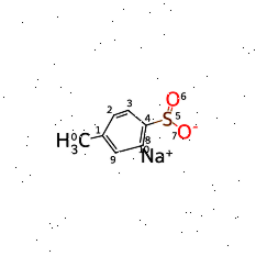 Cc1ccc(S(=O)[O-])cc1.[Na+]